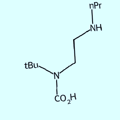 CCCNCCN(C(=O)O)C(C)(C)C